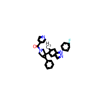 Cc1cc2c(cnn2-c2ccc(F)cc2)cc1C12CN(C(=O)c3ccncc3)CC1C2c1ccccc1